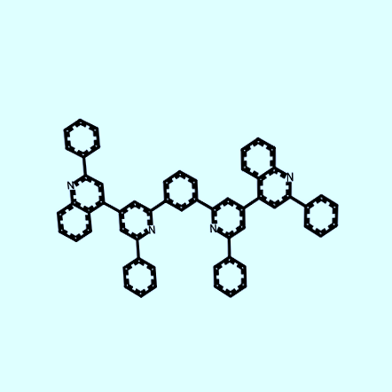 c1ccc(-c2cc(-c3cc(-c4ccccc4)nc4ccccc34)cc(-c3cccc(-c4cc(-c5cc(-c6ccccc6)nc6ccccc56)cc(-c5ccccc5)n4)c3)n2)cc1